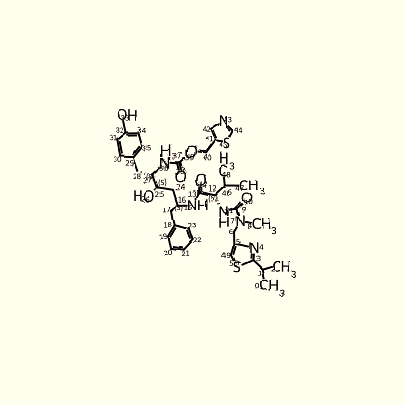 CC(C)c1nc(CN(C)C(=O)N[C@H](C(=O)N[C@@H](Cc2ccccc2)C[C@H](O)[C@H](Cc2ccc(O)cc2)NC(=O)OCc2cncs2)C(C)C)cs1